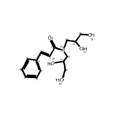 O=C(C=Cc1ccccc1)N(CC(O)CO)CC(O)CO